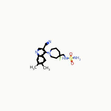 Cc1cc2ncc(C#N)c(N3CCCC(F)(CNS(N)(=O)=O)CC3)c2cc1C